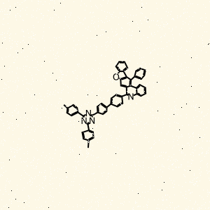 Cc1ccc(-c2nc(-c3ccc(C)cc3)nc(-c3ccc(-c4ccc(-c5nc6ccccc6c6c(-c7ccccc7)c7c(cc56)oc5ccccc57)cc4)cc3)n2)cc1